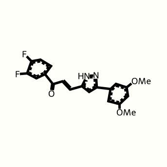 COc1cc(OC)cc(-c2cc(C=CC(=O)c3ccc(F)c(F)c3)[nH]n2)c1